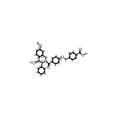 COC(=O)c1ccc(COc2ccc(C(=O)N(Cc3cccc(OC)c3)C(C(N)=O)c3ccccc3)cc2)cc1